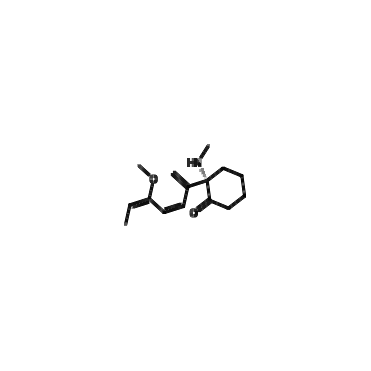 C=C(/C=C\C(=C/C)OC)[C@@]1(NC)CCCCC1=O